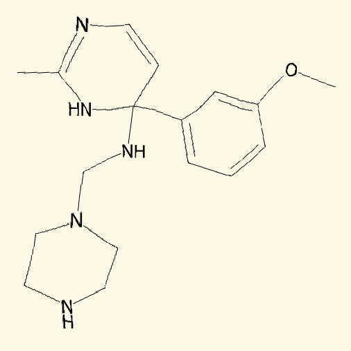 COc1cccc(C2(NCN3CCNCC3)C=CN=C(C)N2)c1